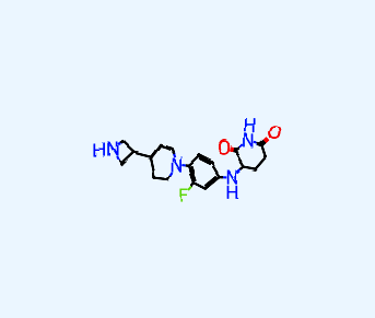 O=C1CCC(Nc2ccc(N3CCC(C4CNC4)CC3)c(F)c2)C(=O)N1